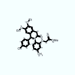 CCOc1cc2c(cc1OCC)C(c1ccc(Cl)cc1)N(c1ccc(C)cc1OCC(=O)OC)C(=O)C2